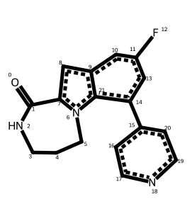 O=C1NCCCn2c1cc1cc(F)cc(-c3ccncc3)c12